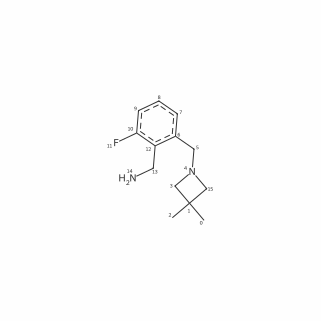 CC1(C)CN(Cc2cccc(F)c2CN)C1